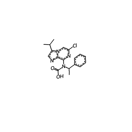 CC(C)c1cnc2c(N(C(=O)O)C(C)c3ccccc3)nc(Cl)cn12